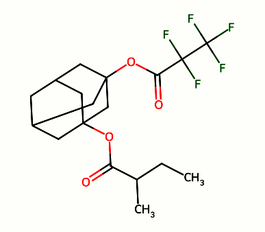 CCC(C)C(=O)OC12CC3CC(C1)CC(OC(=O)C(F)(F)C(F)(F)F)(C3)C2